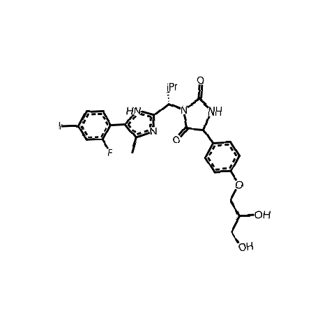 Cc1nc([C@H](C(C)C)N2C(=O)NC(c3ccc(OCC(O)CO)cc3)C2=O)[nH]c1-c1ccc(I)cc1F